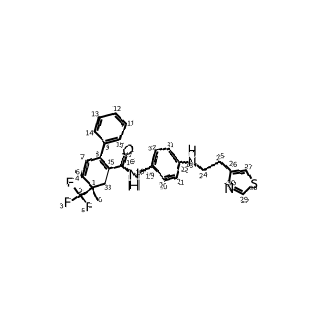 CC1(C(F)(F)F)C=CC(c2ccccc2)=C(C(=O)Nc2ccc(NCCc3cscn3)cc2)C1